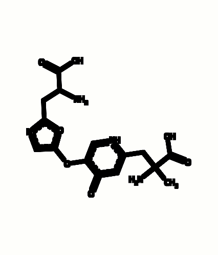 CC(N)(Cc1cc(=O)c(Oc2cnc(CC(N)C(=O)O)o2)c[nH]1)C(=O)O